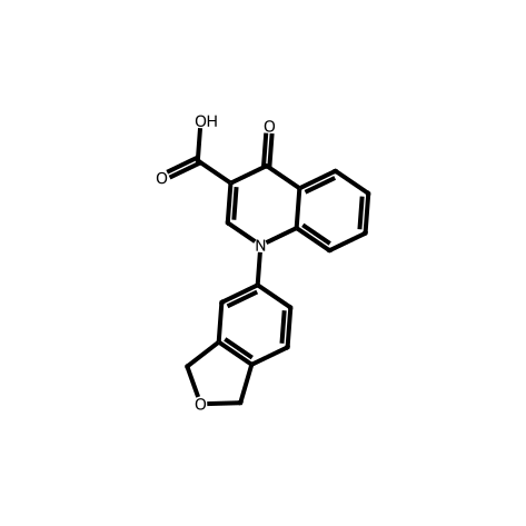 O=C(O)c1cn(-c2ccc3c(c2)COC3)c2ccccc2c1=O